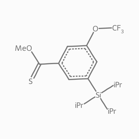 COC(=S)c1cc(OC(F)(F)F)cc([Si](C(C)C)(C(C)C)C(C)C)c1